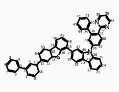 C1=CC(c2ccccc2)=CC(C2=CC3Sc4c(-c5ccc6c7ccccc7n(-c7ccc(-c8ncccn8)c(-c8ccccc8)c7)c6c5)cccc4C3C=C2)C1